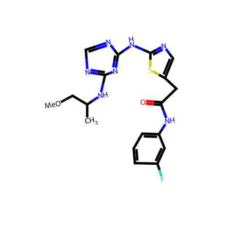 COCC(C)Nc1ncnc(Nc2ncc(CC(=O)Nc3cccc(F)c3)s2)n1